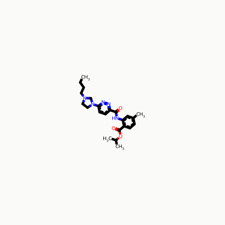 CCCCN1CCN(c2ccc(C(=O)Nc3cc(C)ccc3C(=O)OC(C)C)nn2)C1